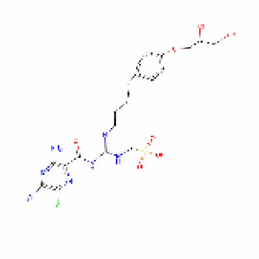 Nc1nc(N)c(C(=O)NC(=NCCCCc2ccc(OCC(O)CO)cc2)NCS(=O)(=O)O)nc1Cl